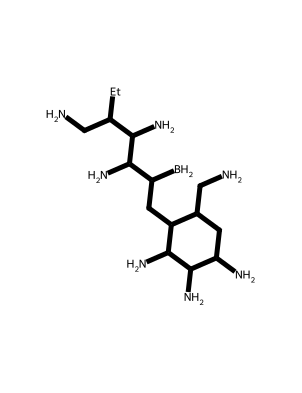 BC(CC1C(CN)CC(N)C(N)C1N)C(N)C(N)C(CC)CN